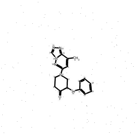 Cc1cc(N2CCC(=O)C([Se]c3ccccc3)C2)nn2cnnc12